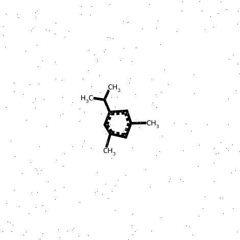 Cc1cc(C)cc(C(C)C)c1